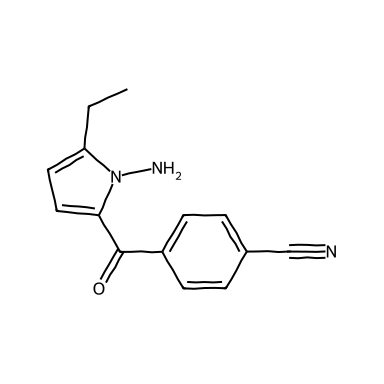 CCc1ccc(C(=O)c2ccc(C#N)cc2)n1N